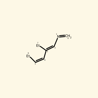 C=N/C=C(/C=C\CC)CC